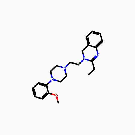 CCC1=Nc2ccccc2CN1CCN1CCN(c2ccccc2OC)CC1